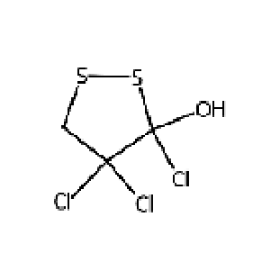 OC1(Cl)SSCC1(Cl)Cl